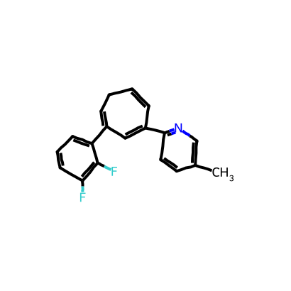 Cc1ccc(C2=CC(c3cccc(F)c3F)=CCC=C2)nc1